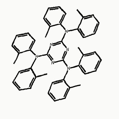 Cc1ccccc1N(c1nc(N(c2ccccc2C)c2ccccc2C)nc(N(c2ccccc2C)c2ccccc2C)n1)c1ccccc1C